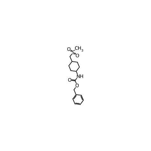 CS(=O)(=O)CC1CCC(NC(=O)OCc2ccccc2)CC1